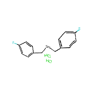 Cl.Cl.Fc1ccc([CH2][Sn][CH2]c2ccc(F)cc2)cc1